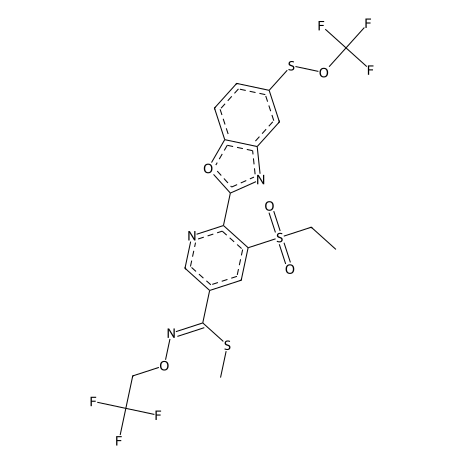 CCS(=O)(=O)c1cc(/C(=N/OCC(F)(F)F)SC)cnc1-c1nc2cc(SOC(F)(F)F)ccc2o1